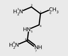 CC(CN)CNC(=N)N